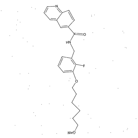 COCCCCCCOc1cccc(CNC(=O)c2ccc3ncccc3c2)c1F